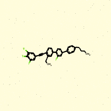 CCCCc1ccc(-c2ccc(-c3ccc(C#Cc4cc(F)c(F)c(F)c4)c(CC)c3)c(F)c2)cc1